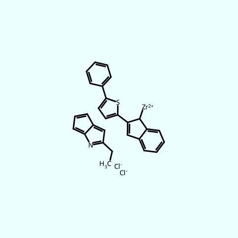 CCC1=NC2=CC=CC2=C1.[Cl-].[Cl-].[Zr+2][CH]1C(c2ccc(-c3ccccc3)s2)=Cc2ccccc21